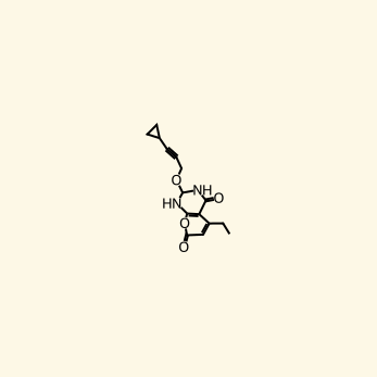 CCc1cc(=O)oc2c1C(=O)NC(OCC#CC1CC1)N2